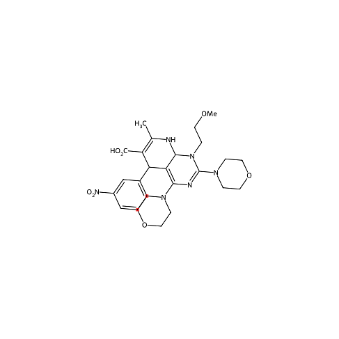 COCCN1C(N2CCOCC2)=NC(N2CCOCC2)=C2C(c3cccc([N+](=O)[O-])c3)C(C(=O)O)=C(C)NC21